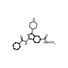 CNC(=O)c1ccc2c(c1)c(N1CCNCC1)nn2NC(=O)c1ccccc1